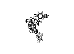 CC1(c2cc(Br)ccc2F)CO[C@@](C)(C(F)(F)F)C(N(COCC[Si](C)(C)C)C(=O)O)=N1